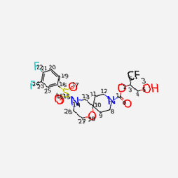 O=C(OC(CO)C(F)(F)F)N1CCC2(CC1)CN(S(=O)(=O)c1ccc(F)c(F)c1)CCO2